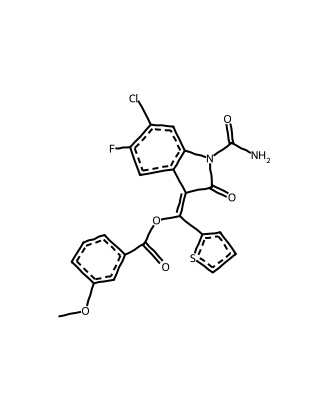 COc1cccc(C(=O)OC(=C2C(=O)N(C(N)=O)c3cc(Cl)c(F)cc32)c2cccs2)c1